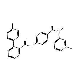 Cc1ccc(-c2ccccc2C(=O)Nc2ccc(C(=O)N(C)c3cccc(C)c3)cc2)cc1